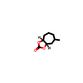 CC1CCC[C@H]2OC(=O)O[C@H]2C1